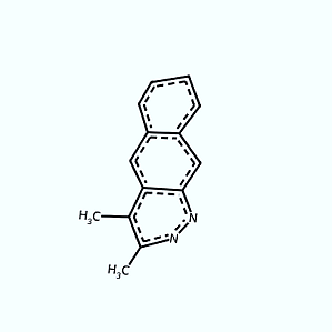 Cc1nnc2cc3ccccc3cc2c1C